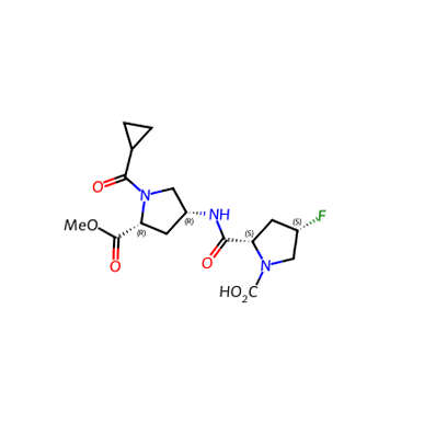 COC(=O)[C@H]1C[C@@H](NC(=O)[C@@H]2C[C@H](F)CN2C(=O)O)CN1C(=O)C1CC1